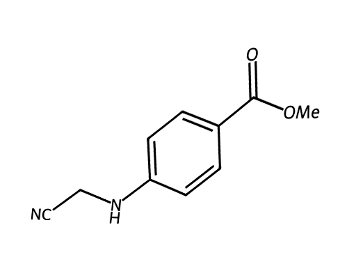 COC(=O)c1ccc(NCC#N)cc1